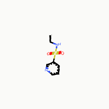 [CH2]CNS(=O)(=O)c1cccnc1